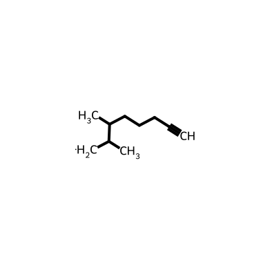 C#CCCCC(C)C([CH2])C